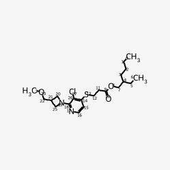 CCCCC(CC)COC(=O)CCSc1ccnc(N2CC(COC)C2)c1Cl